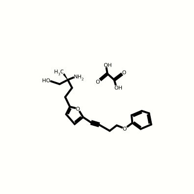 C[C@](N)(CO)CCc1ccc(C#CCCOc2ccccc2)o1.O=C(O)C(=O)O